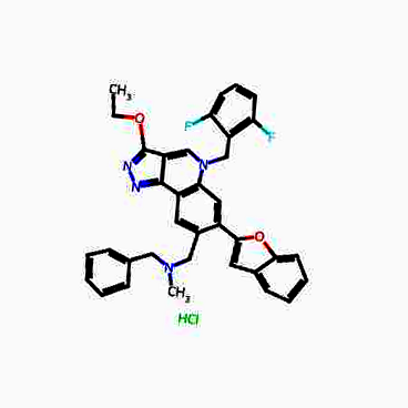 CCOc1nnc2c3cc(CN(C)Cc4ccccc4)c(-c4cc5ccccc5o4)cc3n(Cc3c(F)cccc3F)cc1-2.Cl